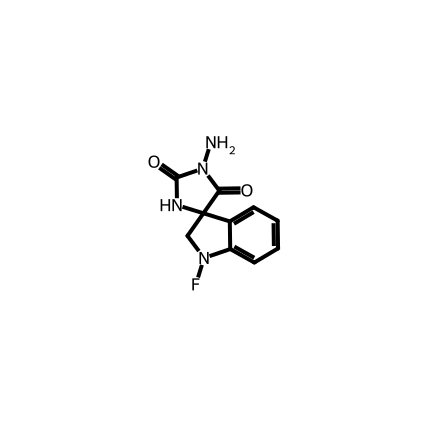 NN1C(=O)NC2(CN(F)c3ccccc32)C1=O